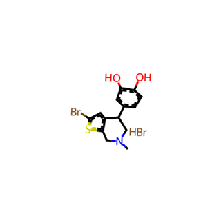 Br.CN1Cc2sc(Br)cc2C(c2ccc(O)c(O)c2)C1